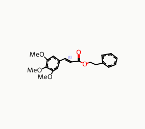 COc1cc(/C=C/C(=O)OCCc2ccccc2)cc(OC)c1OC